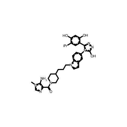 CC(C)c1cc(-c2nnc(O)n2-c2ccc3c(ccn3CCCC3CCN(C(=O)c4ncn(C)c4N)CC3)c2)c(O)cc1O